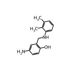 Cc1cccc(NCc2cc(N)ccc2O)c1C